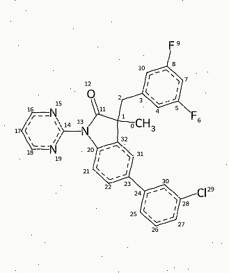 CC1(Cc2cc(F)cc(F)c2)C(=O)N(c2ncccn2)c2ccc(-c3cccc(Cl)c3)cc21